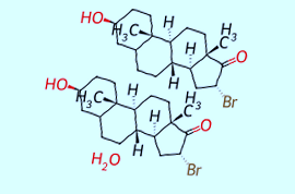 C[C@]12CC[C@H](O)CC1CC[C@@H]1[C@@H]2CC[C@]2(C)C(=O)[C@H](Br)C[C@@H]12.C[C@]12CC[C@H](O)CC1CC[C@@H]1[C@@H]2CC[C@]2(C)C(=O)[C@H](Br)C[C@@H]12.O